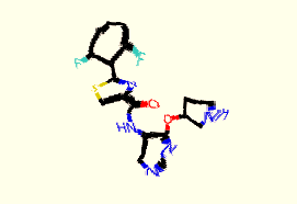 O=C(Nc1cncnc1OC1CCNC1)c1csc(C2C(F)=CC=CC2F)n1